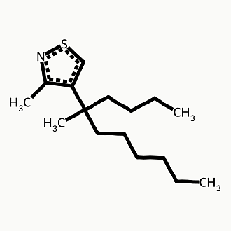 CCCCCCC(C)(CCCC)c1csnc1C